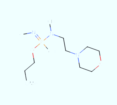 CN=P(C)(OCCOC)N(C)CCN1CCOCC1